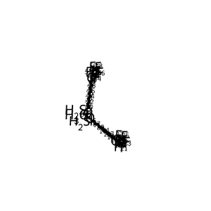 C[C@H](CO[SiH2]CCCCCCCCCCCOc1c(F)c(F)c(F)c(F)c1F)O[SiH2]CCCCCCCCCCCOc1c(F)c(F)c(F)c(F)c1F